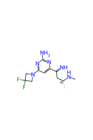 CN[C@H](C)CC(=N)c1cc(N2CC(F)(F)C2)nc(N)n1